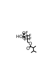 CC(C)C(C)C(=O)OCC(F)(F)C(F)(F)S(=O)(=O)O